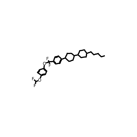 CCCCCC1CCC(C2CCC(c3ccc(C(F)(F)Oc4ccc(OC(F)F)cc4)cc3)CC2)CC1